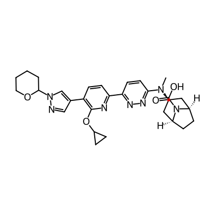 CN(c1ccc(-c2ccc(-c3cnn(C4CCCCO4)c3)c(OC3CC3)n2)nn1)[C@H]1C[C@H]2CC[C@@H](C1)N2C(=O)O